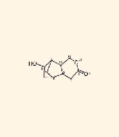 O=C1CC2C3CC(O)C(C3)C2CO1